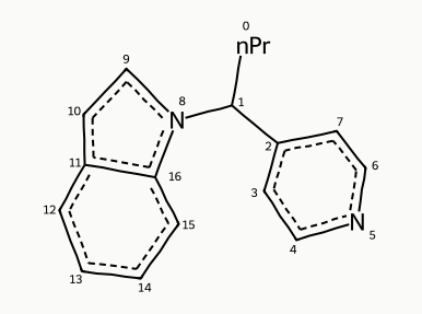 CCCC(c1ccncc1)n1ccc2ccccc21